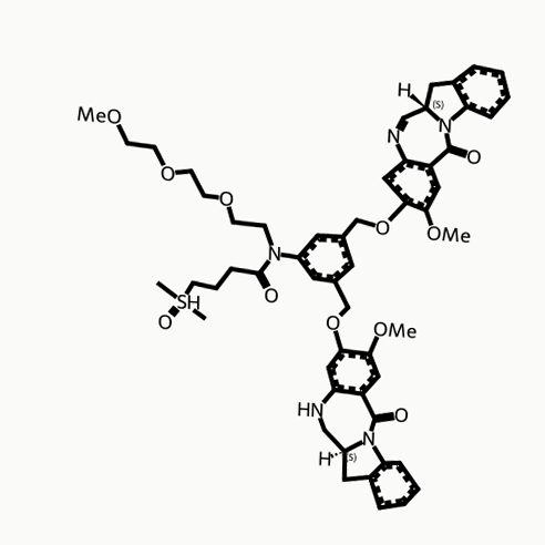 COCCOCCOCCN(C(=O)CCC[SH](C)(C)=O)c1cc(COc2cc3c(cc2OC)C(=O)N2c4ccccc4C[C@H]2C=N3)cc(COc2cc3c(cc2OC)C(=O)N2c4ccccc4C[C@H]2CN3)c1